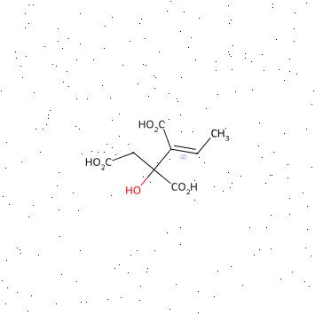 C/C=C(\C(=O)O)C(O)(CC(=O)O)C(=O)O